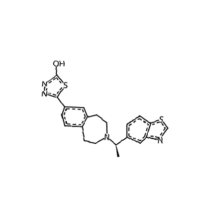 C[C@H](c1ccc2scnc2c1)N1CCc2ccc(-c3nnc(O)s3)cc2CC1